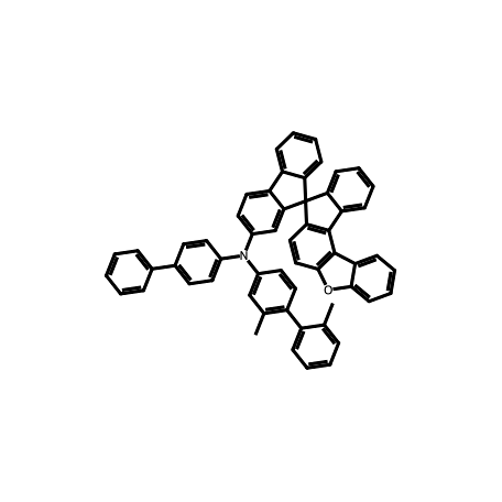 Cc1ccccc1-c1ccc(N(c2ccc(-c3ccccc3)cc2)c2ccc3c(c2)C2(c4ccccc4-3)c3ccccc3-c3c2ccc2oc4ccccc4c32)cc1C